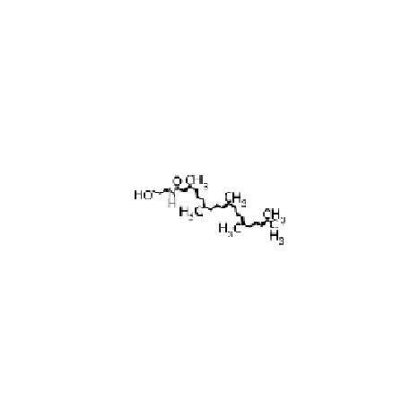 CC(C)=CCCC(C)=CCCC(C)=CCCC(C)=CCCC(C)=CC(=O)NCCCO